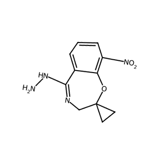 NNC1=NCC2(CC2)Oc2c1cccc2[N+](=O)[O-]